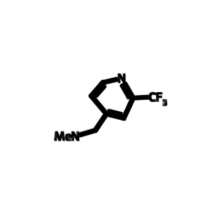 CNCc1ccnc(C(F)(F)F)c1